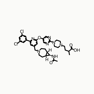 CC(=O)N[C@H]1[C@@H]2CCN(Cc3cc(Oc4cnc(N5CCN(CCC(C)C(=O)O)CC5)nc4)nc(-c4cc(Cl)cc(Cl)c4)c3)CC[C@@H]21